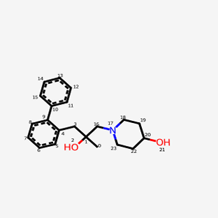 CC(O)(Cc1ccccc1-c1ccccc1)CN1CCC(O)CC1